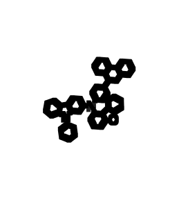 c1ccc(-n2c3ccccc3c3ccc(N(c4ccc(-c5cc6ccccc6c6ccccc56)cc4)c4cccc5oc6ccccc6c45)cc32)cc1